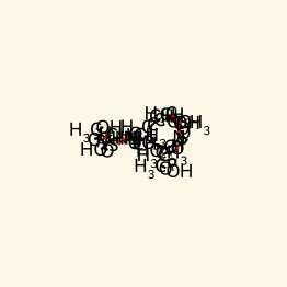 CO[C@@H]1C[C@H](/C=C(\C)[C@H]2OC(=O)[C@@H]3CCCCN3C(=O)C(=O)[C@]3(O)O[C@H]([C@@H](C)C[C@@H](C)C/C(C)=C/[C@@H](CCC(C)(C)S(=O)(=O)NC[C@@H]4C[C@H](SC5=C(C(=O)O)N6C(=O)[C@H]([C@@H](C)O)[C@H]6[C@H]5C)CN4)C(=O)C[C@H](O)[C@H]2C)[C@@H](C)C[C@H]3C)CC[C@H]1O